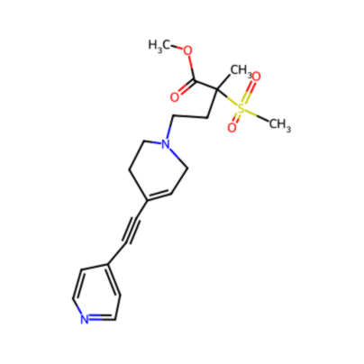 COC(=O)C(C)(CCN1CC=C(C#Cc2ccncc2)CC1)S(C)(=O)=O